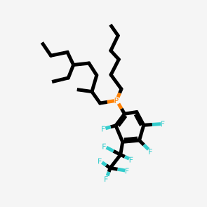 CCCCCCP(CC(C)CCC(CC)CCC)c1cc(F)c(F)c(C(F)(F)C(F)(F)F)c1F